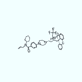 C=CCN(C(=O)c1ccc(N2CCN(CCCCC3(C(=O)NCC(F)(F)F)c4ccccc4Oc4ccccc43)CC2)cc1)C1CCCCC1